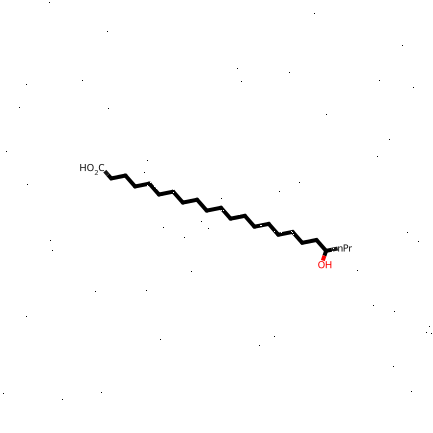 CCCC(O)CCCCCCCCCCCCCCCCCCC(=O)O